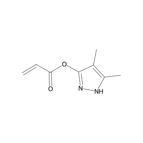 C=CC(=O)Oc1n[nH]c(C)c1C